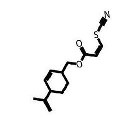 C=C(C)C1C=CC(COC(=O)/C=C\SC#N)CC1